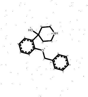 OC1(c2ccccc2OCc2ccccc2)CCNCC1